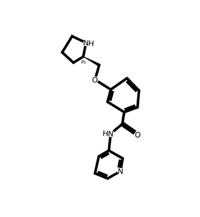 O=C(Nc1cccnc1)c1cccc(OC[C@H]2CCCN2)c1